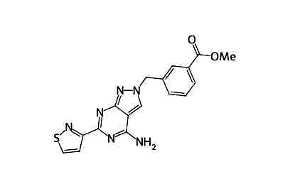 COC(=O)c1cccc(Cn2cc3c(N)nc(-c4ccsn4)nc3n2)c1